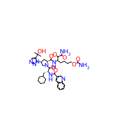 CC(C)(O)c1cnnn1[C@H]1C[C@@H](C(=O)NC(CCCCOC(N)=O)C(=O)C(N)=O)N(C(=O)[C@@H](CC2CCCCC2)NC(=O)c2cnc3ccccc3c2)C1